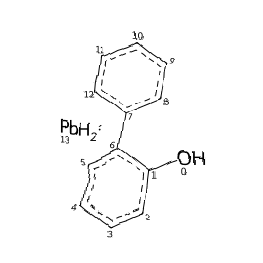 Oc1ccccc1-c1ccccc1.[PbH2]